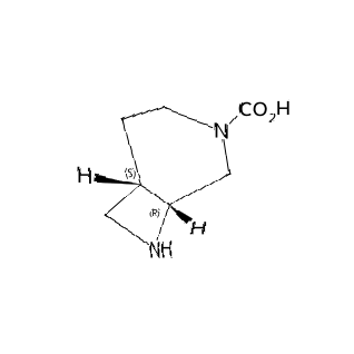 O=C(O)N1CC[C@H]2CN[C@H]2C1